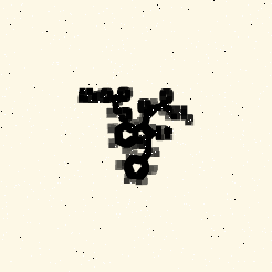 CCc1c(C2OC2C(N)=O)c2c(OCC(=O)OC)cccc2n1Cc1ccccc1